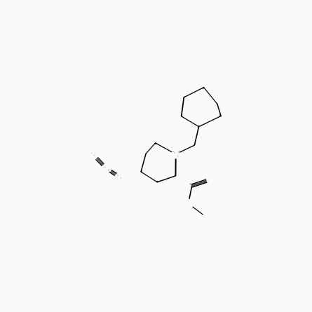 COC(=O)[C@@H]1C[C@H](N=[N+]=[N-])CCN1CC1CCCCC1